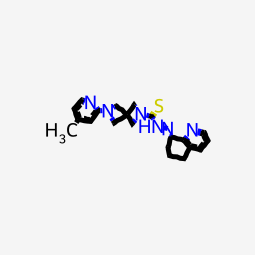 Cc1ccnc(N2CC3(CN(C(=S)N/N=C4\CCCc5cccnc54)C3)C2)c1